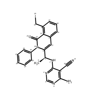 C[C@H](Nc1ncnc(N)c1C#N)c1cc2cccc(CI)c2c(=O)n1-c1ccccc1